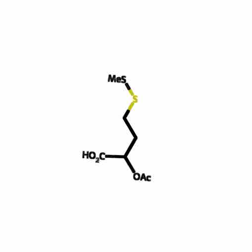 CSSCCC(OC(C)=O)C(=O)O